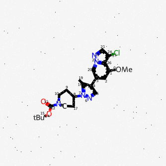 COc1cc(-c2cnn(C3CCN(C(=O)OC(C)(C)C)CC3)c2C)cn2ncc(Cl)c12